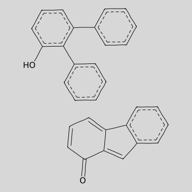 O=C1C=CC=C2C1=Cc1ccccc12.Oc1cccc(-c2ccccc2)c1-c1ccccc1